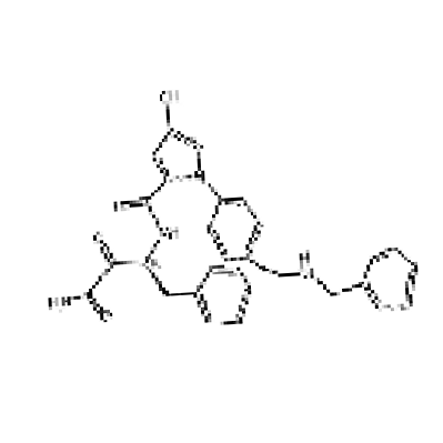 Cc1cc(C(=O)N[C@@H](Cc2ccccc2)C(=O)C(N)=O)n(-c2ccc(CNCc3ccccc3)cc2)n1